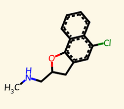 CNCC1Cc2cc(Cl)c3ccccc3c2O1